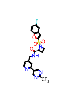 O=C(NCc1ccnc(-c2cnc(C(F)(F)F)nc2)c1)[C@@H]1CCN1S(=O)(=O)c1cc2cc(F)ccc2o1